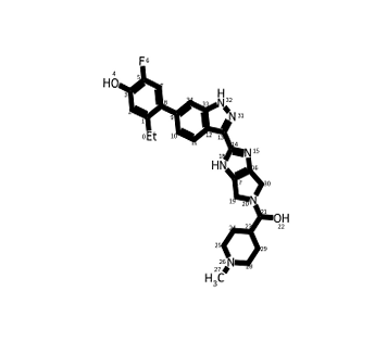 CCc1cc(O)c(F)cc1-c1ccc2c(-c3nc4c([nH]3)CN(C(O)C3CCN(C)CC3)C4)n[nH]c2c1